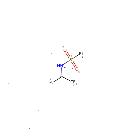 CCS(=O)(=O)NC(C(C)C)C(F)(F)F